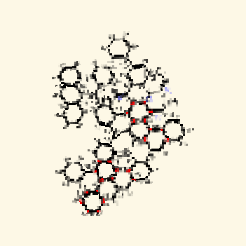 C\C=C/C=C(\C=C/CCC)C(/C(=C\CCC)C1=CC(C2=CCCC=C2)=CCC1)N1c2cc(N(c3ccccc3)c3c4ccccc4cc4ccccc34)ccc2B2c3ccc(N(c4ccccc4)c4c5ccccc5cc5ccccc45)cc3N(C3=C(c4cccc(-c5ccccc5)c4)CCC=C3C3C=CC=C(c4ccccc4)C3)c3cc(-c4ccccc4)cc1c32